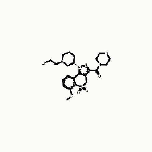 COc1cccc2c1S(=O)(=O)Cc1c(C(=O)N3CCOCC3)nn([C@H]3CCCN(CCCl)C3)c1-2